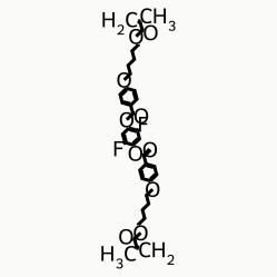 C=C(C)C(=O)OCCCCCOc1ccc(C(=O)Oc2cc(F)c(OC(=O)c3ccc(OCCCCCOC(=O)C(=C)C)cc3)cc2F)cc1